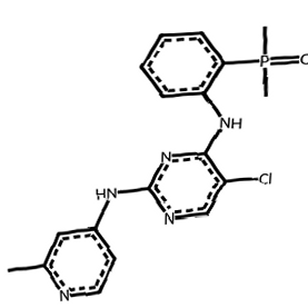 Cc1cc(Nc2ncc(Cl)c(Nc3ccccc3P(C)(C)=O)n2)ccn1